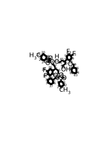 Cc1ccc(S(=O)(=O)OCCC(CCOS(=O)(=O)c2ccc(C)cc2)c2cc(F)c(F)cc2OCc2ccccc2)cc1.OCCC(CCO)c1cc(F)c(F)cc1OCc1ccccc1